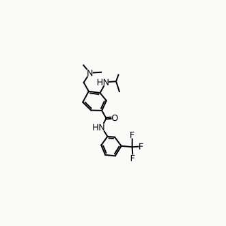 CC(C)Nc1cc(C(=O)Nc2cccc(C(F)(F)F)c2)ccc1CN(C)C